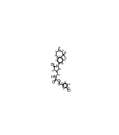 CN1CCc2cc(N3CC(CNC(=O)OSc4ccc(Cl)s4)CC3=O)ccc2C(C)(C)C1